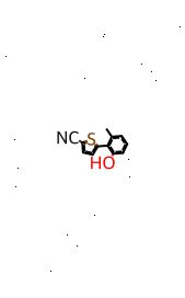 Cc1cccc(O)c1-c1ccc(C#N)s1